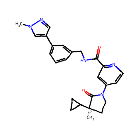 Cn1cc(-c2cccc(CNC(=O)c3cc(N4CC[C@@](C)(C5CC5)C4=O)ccn3)c2)cn1